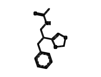 CC(=O)NCC(Cc1ccccc1)C1=COCO1